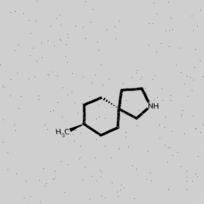 C[C@H]1CC[C@@]2(CCNC2)CC1